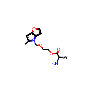 Cc1cc2occc2n1COCCOC(=O)C(N)C(C)C